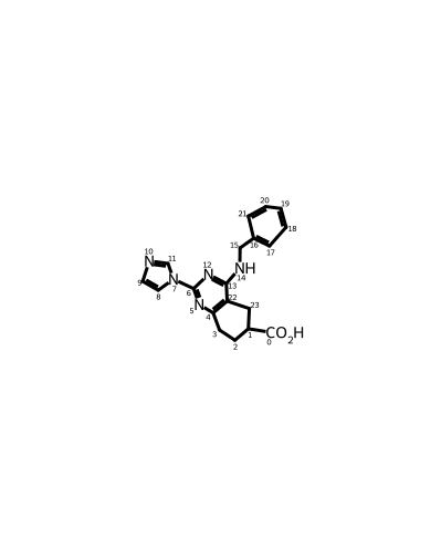 O=C(O)C1CCc2nc(-n3ccnc3)nc(NCc3ccccc3)c2C1